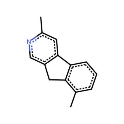 Cc1cc2c(cn1)Cc1c(C)cccc1-2